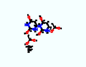 CC(=O)[O-].CC(=O)[O-].O=c1cc[nH]c(=O)[nH]1.O=c1cc[nH]c(=O)[nH]1.[Na+].[Na+]